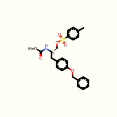 COC(=O)N[C@H](COS(=O)(=O)c1ccc(C)cc1)Cc1ccc(OCc2ccccc2)cc1